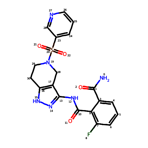 NC(=O)c1cccc(F)c1C(=O)Nc1n[nH]c2c1CN(S(=O)(=O)c1cccnc1)CC2